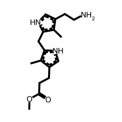 COC(=O)CCc1c[nH]c(Cc2[nH]cc(CCN)c2C)c1C